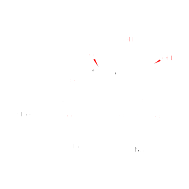 CCCCCCCCCCCC(=O)OC[C@@H](O)[C@H]1OC[C@H](O)[C@H]1O.CCCCCCCCCCCCOS(=O)(=O)[O-].[Na+]